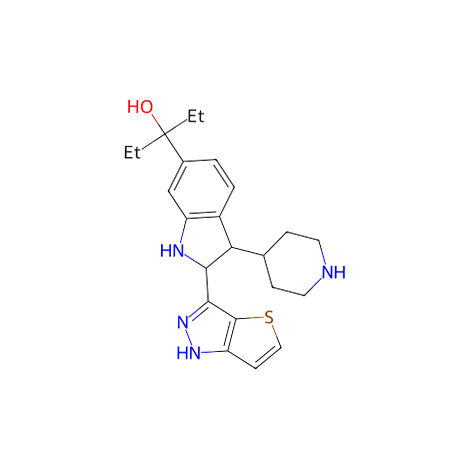 CCC(O)(CC)c1ccc2c(c1)NC(c1n[nH]c3ccsc13)C2C1CCNCC1